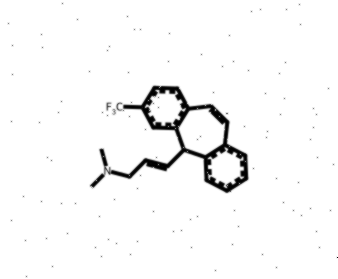 CN(C)CC=CC1c2ccccc2C=Cc2ccc(C(F)(F)F)cc21